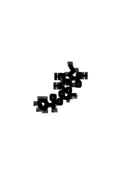 CCCC(OC(=O)NC(=N)N(C)C(CCC)C(=O)O)OC(=O)C(C)c1ccccc1